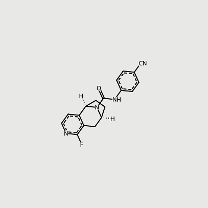 N#Cc1ccc(NC(=O)N2[C@H]3CC[C@@H]2c2ccnc(F)c2C3)cc1